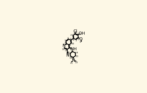 COc1cc(-c2ccc3ncc(C#N)c(NC4CCC(N(C)C)CC4)c3c2)cc(Cl)c1O